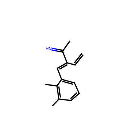 C=C/C(=C\c1cccc(C)c1C)C(C)=N